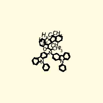 CC(C1Oc2ccccc2C1C1(C)C2=C(C=CCC2)C(C)(C)C1C)N(c1ccc2c3ccccc3n(-c3ccccc3)c2c1)C1C=Cc2c(c3ccccc3n2-c2ccccc2)C1